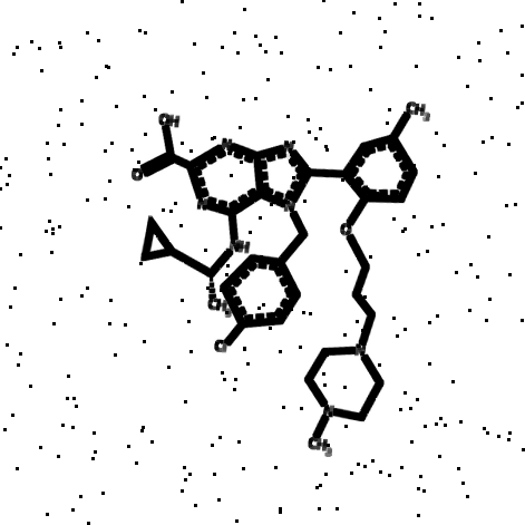 Cc1ccc(OCCCN2CCN(C)CC2)c(-c2nc3nc(C(=O)O)nc(N[C@H](C)C4CC4)c3n2Cc2ccc(Cl)cc2)c1